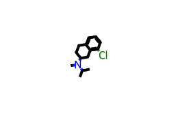 CC(C)N(C)C1CCc2cccc(Cl)c2C1